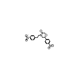 O=C1COC(c2ccc([N+](=O)[O-])cc2)CN1CCc1ccc([N+](=O)[O-])cc1